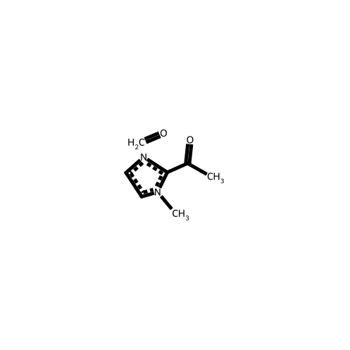 C=O.CC(=O)c1nccn1C